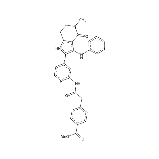 COC(=O)c1ccc(CC(=O)Nc2cc(-c3[nH]c4c(c3Nc3ccccc3)C(=O)N(C)CC4)ccn2)cc1